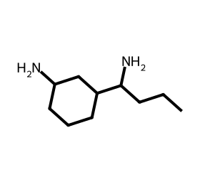 CCCC(N)C1CCCC(N)C1